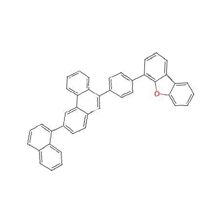 c1ccc2c(-c3ccc4cc(-c5ccc(-c6cccc7c6oc6ccccc67)cc5)c5ccccc5c4c3)cccc2c1